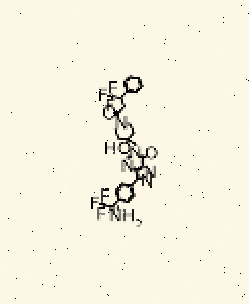 Cn1nc2c(=O)n(CC3(O)CCN(C(=O)CC(c4ccccc4)C(F)(F)F)CC3)cnc2c1-c1ccc([C@H](N)C(F)(F)F)cc1